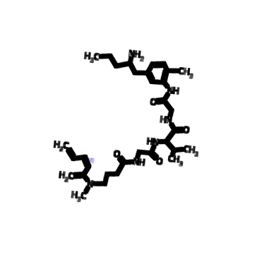 C=C/C=C\C(=C)N(C)CCCC(=O)NCC(=O)NC(C(=O)NCC(=O)Nc1cc(CC(N)CCC)ccc1C)C(C)C